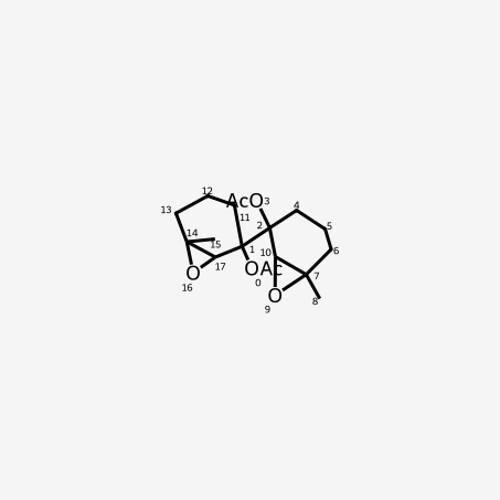 CC(=O)OC1(C2(OC(C)=O)CCCC3(C)OC32)CCCC2(C)OC21